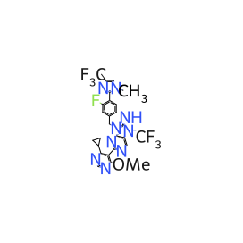 COc1ncnc(C2CC2)c1-c1ncc2c(n1)n(Cc1ccc(-c3nc(C(F)(F)F)cn3C)c(F)c1)c(=N)n2CC(F)(F)F